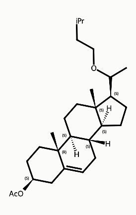 CC(=O)O[C@H]1CC[C@@]2(C)C(=CC[C@H]3[C@@H]4CC[C@H](C(C)OCCC(C)C)[C@@]4(C)CC[C@@H]32)C1